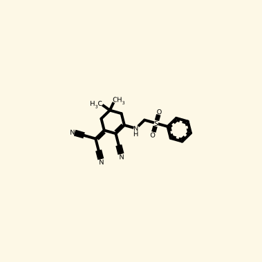 CC1(C)CC(NCS(=O)(=O)c2ccccc2)=C(C#N)C(=C(C#N)C#N)C1